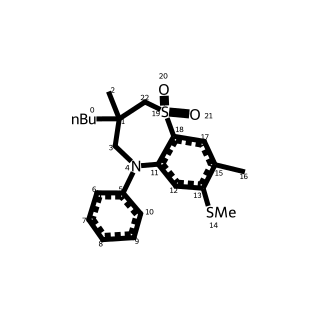 CCCCC1(C)CN(c2ccccc2)c2cc(SC)c(C)cc2S(=O)(=O)C1